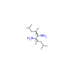 C/C(CC(C)C)=C(N)/C(N)=C(/C)CC(C)C